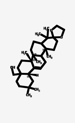 CC1(C)CCC2(CO)CC[C@@]3(C)C(=CCC4[C@@]5(C)CCC6(OCCO6)C(C)(C)C5CC[C@]43C)[C@@H]2C1